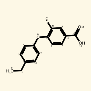 CCc1ccc(Oc2ccc(C(=O)O)cc2F)cc1